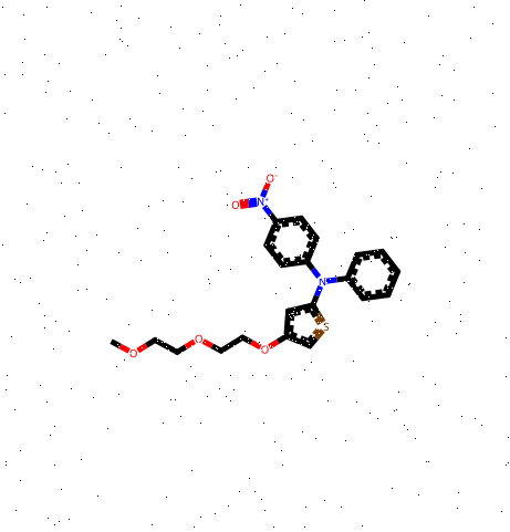 COCCOCCOc1csc(N(c2ccccc2)c2ccc([N+](=O)[O-])cc2)c1